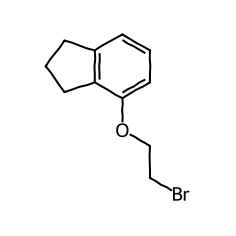 BrCCOc1cccc2c1CCC2